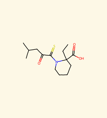 CCC1(C(=O)O)CCCCN1C(=S)C(=O)CC(C)C